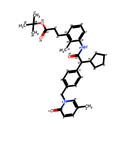 Cc1ccc(=O)n(Cc2ccc(C(C(=O)Nc3cccc(CCC(=O)OC(C)(C)C)c3C)C3CCCC3)cc2)c1